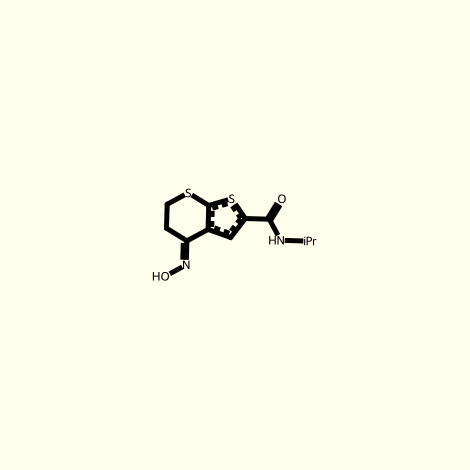 CC(C)NC(=O)c1cc2c(s1)SCCC2=NO